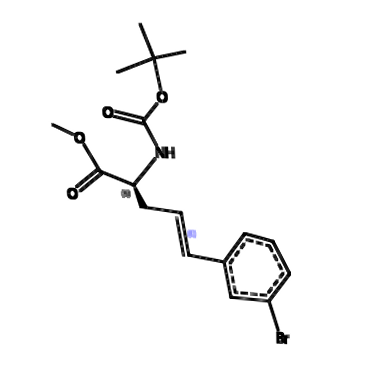 COC(=O)[C@H](C/C=C/c1cccc(Br)c1)NC(=O)OC(C)(C)C